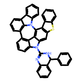 c1ccc(C2NC(n3c4cccc5c6cccc7c8ccccc8n(c67)c6c7c(cc3c6c54)sc3ccccc37)=Nc3ccccc32)cc1